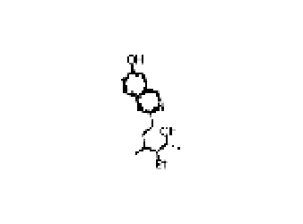 CC[C@@H](C(C)CCc1cc2ccc(O)cc2cn1)[C@@H](C)O